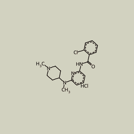 CN1CCC(N(C)c2cccc(NC(=O)c3ccccc3Cl)n2)CC1.Cl